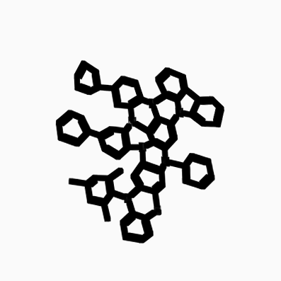 Cc1cc(C)c(B2c3ccccc3Sc3cc4c(cc32)B2c3ccc(-c5ccccc5)cc3N3c5cc(-c6ccccc6)ccc5B5c6c(cc(c2c63)N4c2ccccc2)-n2c3ccccc3c3cccc5c32)c(C)c1